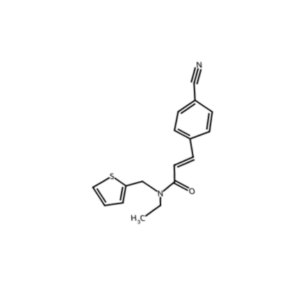 CCN(Cc1cccs1)C(=O)C=Cc1ccc(C#N)cc1